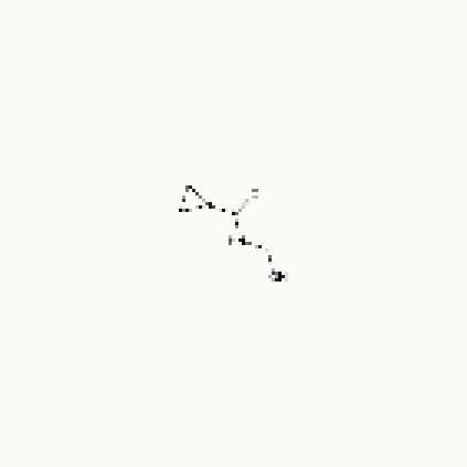 O=C(NCO)N1CC1